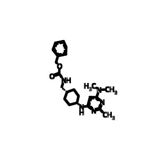 Cc1nc(N[C@H]2CC[C@@H](CNC(=O)OCc3ccccc3)CC2)cc(N(C)C)n1